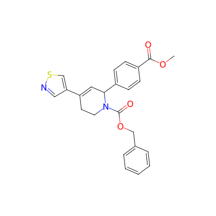 COC(=O)c1ccc(C2C=C(c3cnsc3)CCN2C(=O)OCc2ccccc2)cc1